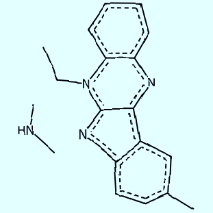 CCn1c2nc3ccc(C)cc3c-2nc2ccccc21.CNC